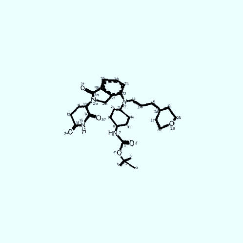 CC(C)(C)OC(=O)NC1CCC(N(CCCC2CCOCC2)c2cccc3c2CN(C2CCC(=O)NC2=O)C3=O)CC1